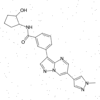 Cn1cc(-c2cnc3c(-c4cccc(C(=O)NC5CCCC5O)c4)cnn3c2)cn1